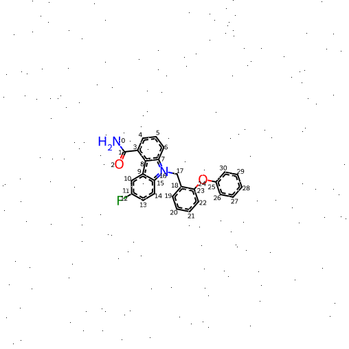 NC(=O)c1cccc2c1c1[c]c(F)ccc1n2Cc1ccccc1Oc1ccccc1